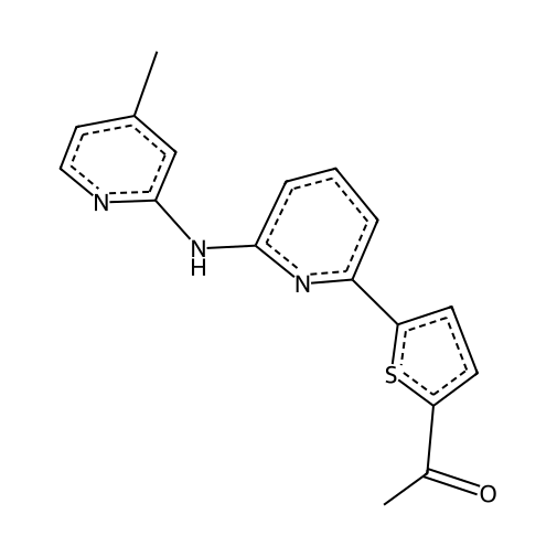 CC(=O)c1ccc(-c2cccc(Nc3cc(C)ccn3)n2)s1